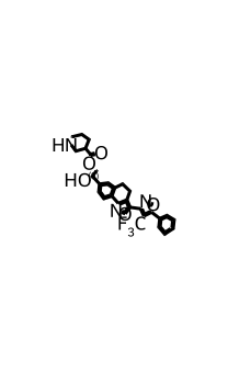 O=C(OC[C@@H](O)c1ccc2c(c1)CCc1c-2noc1-c1noc(-c2ccccc2)c1C(F)(F)F)C1CCCNC1